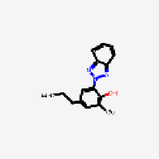 COCCc1cc(-n2nc3ccccc3n2)c(O)c(C(C)(C)C)c1